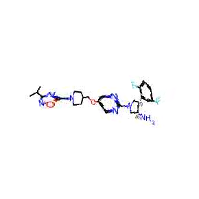 CC(C)c1noc(N2CCC(COc3cnc(N4C[C@H](c5cc(F)ccc5F)[C@@H](N)C4)nc3)CC2)n1